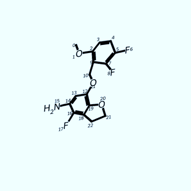 COc1ccc(F)c(F)c1COc1cc(N)c(F)c2c1OCC2